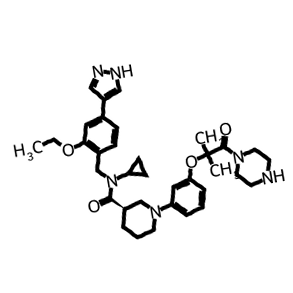 CCOc1cc(-c2cn[nH]c2)ccc1CN(C(=O)[C@@H]1CCCN(c2cccc(OC(C)(C)C(=O)N3CCNCC3)c2)C1)C1CC1